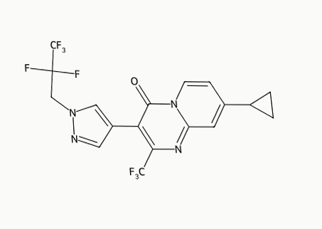 O=c1c(-c2cnn(CC(F)(F)C(F)(F)F)c2)c(C(F)(F)F)nc2cc(C3CC3)ccn12